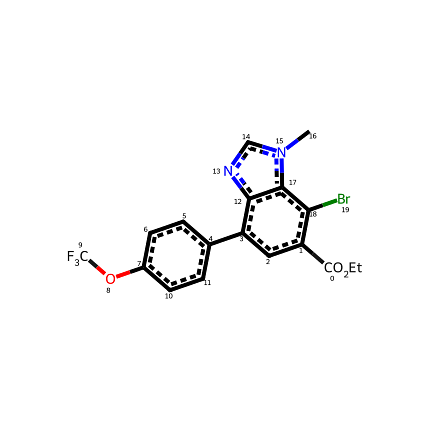 CCOC(=O)c1cc(-c2ccc(OC(F)(F)F)cc2)c2ncn(C)c2c1Br